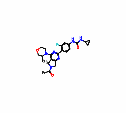 CC(C)C(=O)N1Cc2nc(-c3ccc(NC(=O)NC4CC4)cc3F)nc(N3CCOCC3C)c2C1